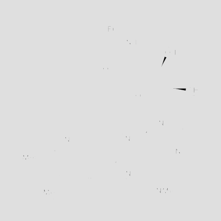 CCNC(=O)[C@H]1O[C@@H](n2cnc3c(NC)nc(-c4cnc(OC)c(OC)c4)nc32)[C@H](O)[C@@H]1O